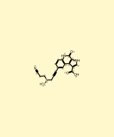 CN(CC#Cc1ccc2[nH]c(=O)c3[nH]cc(C(=O)O)c3c2c1)CCC#N